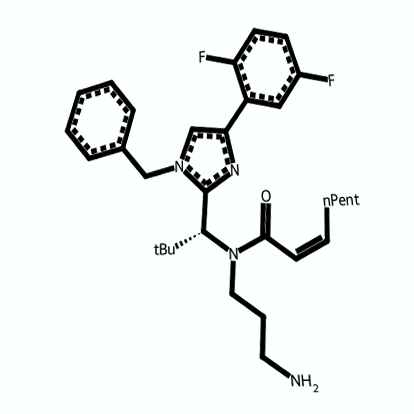 CCCCC/C=C\C(=O)N(CCCN)[C@@H](c1nc(-c2cc(F)ccc2F)cn1Cc1ccccc1)C(C)(C)C